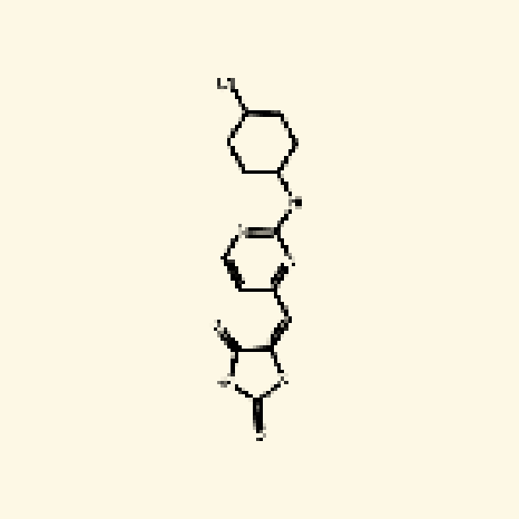 NC1CCC(Nc2nccc(/C=C3/SC(=O)NC3=O)n2)CC1